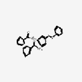 NC(=O)c1ccccc1.NC(=O)c1ccccc1.c1ccc(SSc2ccccc2)cc1